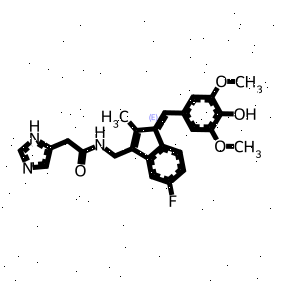 COc1cc(/C=C2/C(C)=C(CNC(=O)Cc3cnc[nH]3)c3cc(F)ccc32)cc(OC)c1O